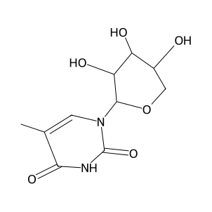 Cc1cn(C2OCC(O)C(O)C2O)c(=O)[nH]c1=O